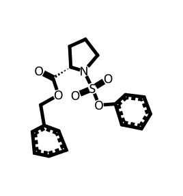 O=C(OCc1ccccc1)[C@@H]1CCCN1S(=O)(=O)Oc1ccccc1